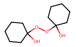 OC1(OOC2(O)CCCCC2)CCCCC1